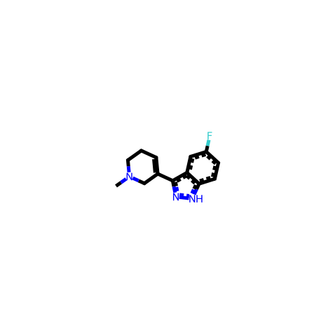 CN1CCC=C(c2n[nH]c3ccc(F)cc23)C1